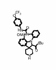 COc1cccc2c1N(c1ccccc1NC(=O)Nc1ccc(OC(F)(F)F)cc1)C(C(=O)C(C)(C)C)C21CCNCC1